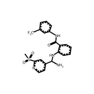 CS(=O)(=O)c1cc(C(N)Nc2ccccc2C(=O)Nc2cccc(C(F)(F)F)c2)ccn1